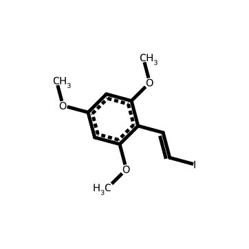 COc1cc(OC)c(/C=C/I)c(OC)c1